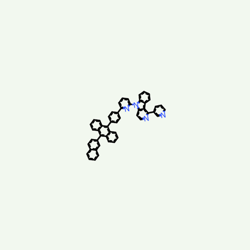 c1cncc(-c2nccc3c2c2ccccc2n3-c2cccc(-c3ccc(-c4c5ccccc5c(-c5ccc6ccccc6c5)c5ccccc45)cc3)n2)c1